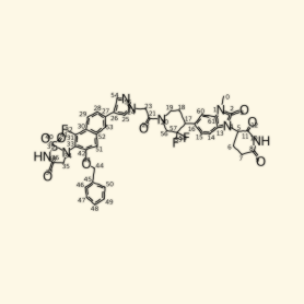 Cn1c(=O)n(C2CCC(=O)NC2=O)c2ccc(C3CCN(C(=O)Cn4cc(-c5ccc6c(F)c(N7CC(=O)NS7(=O)=O)c(OCc7ccccc7)cc6c5)cn4)CC3(F)F)cc21